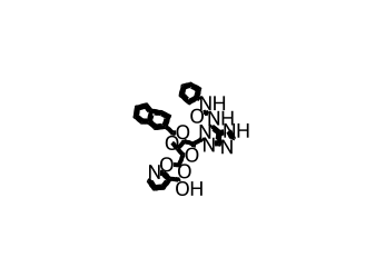 O=C(Nc1ccccc1)Nc1nc(C2OC(COc3ncccc3C(=O)O)C3OC(c4ccc5ccccc5c4)OC23)nc2nc[nH]c12